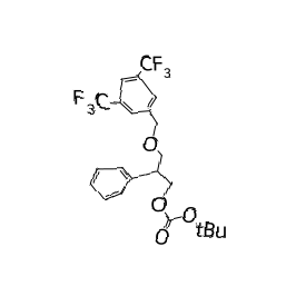 CC(C)(C)OC(=O)OCC(COCc1cc(C(F)(F)F)cc(C(F)(F)F)c1)c1ccccc1